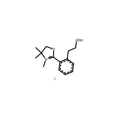 CCCCCCCCCCCCc1ccccc1C1=[N+](C)C(C)(C)CO1.[I-]